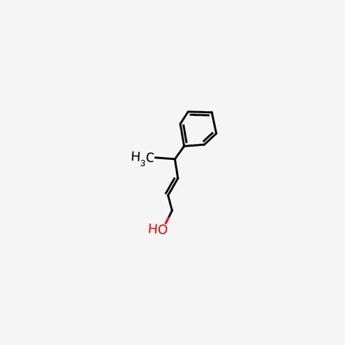 CC(C=CCO)c1ccccc1